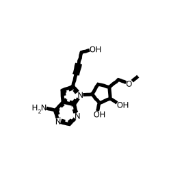 COCC1CC(n2c(C#CCO)cc3c(N)ncnc32)C(O)C1O